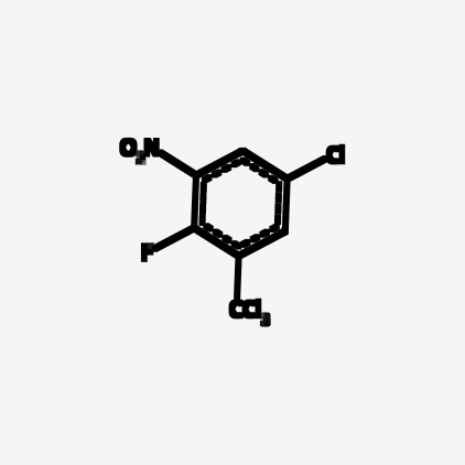 O=[N+]([O-])c1cc(Cl)cc(C(Cl)(Cl)Cl)c1F